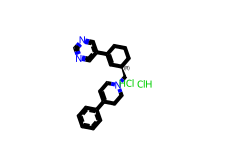 C1=C(c2cncnc2)CCC[C@H]1CN1CC=C(c2ccccc2)CC1.Cl.Cl